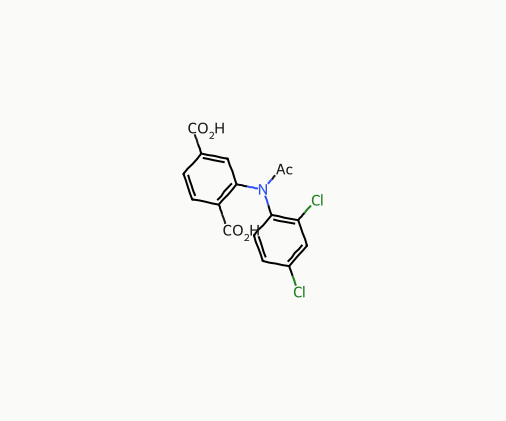 CC(=O)N(c1ccc(Cl)cc1Cl)c1cc(C(=O)O)ccc1C(=O)O